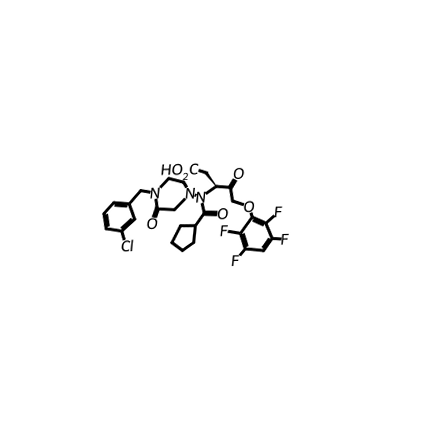 O=C(O)C[C@@H](C(=O)COc1c(F)c(F)cc(F)c1F)N(C(=O)C1CCCC1)N1CCN(Cc2cccc(Cl)c2)C(=O)C1